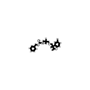 CC(=O)C(C)(COCC(C)(C)CNC(=O)OCc1ccccc1)c1cccc(C)c1